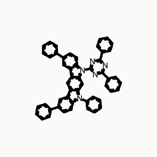 c1ccc(-c2ccc3c(c2)c2cc4c5cc(-c6ccccc6)ccc5n(-c5nc(-c6ccccc6)nc(-c6ccccc6)n5)c4cc2n3-c2ccccc2)cc1